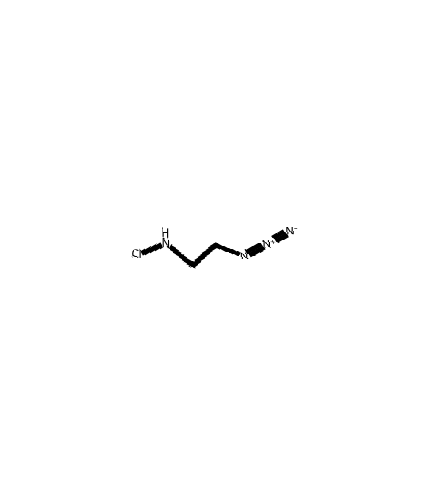 [N-]=[N+]=NCCNCl